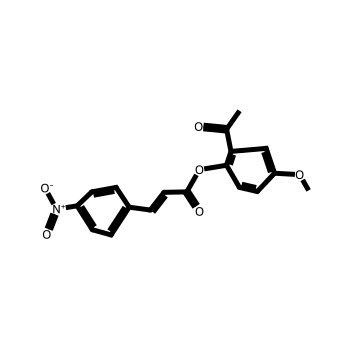 COc1ccc(OC(=O)C=Cc2ccc([N+](=O)[O-])cc2)c(C(C)=O)c1